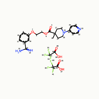 CC1(C(=O)OCCOc2cccc(C(=N)N)c2)CCN(c2ccncc2)CC1.O=C(O)C(F)(F)F.O=C(O)C(F)(F)F